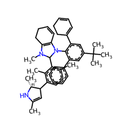 CC1=CC(c2ccc(C)c(C3N(C)C4=C(C=CCC4)N3c3c(C4=CC=CCC4)cc(C(C)(C)C)cc3-c3ccccc3)c2C)[C@@H](C)N1